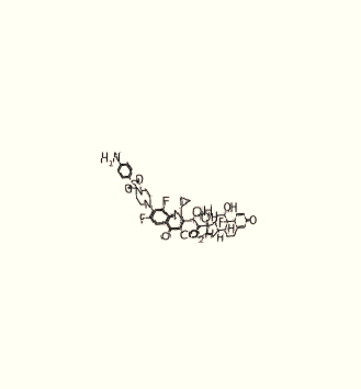 C[C@@H]1C[C@H]2[C@@H]3CCC4=CC(=O)C=C[C@]4(C)C3(F)C(O)C[C@]2(C)[C@@]1(O)C(=O)C(O)c1c(C(=O)O)c(=O)c2cc(F)c(N3CCN(S(=O)(=O)c4ccc(N)cc4)CC3)c(F)c2n1C1CC1